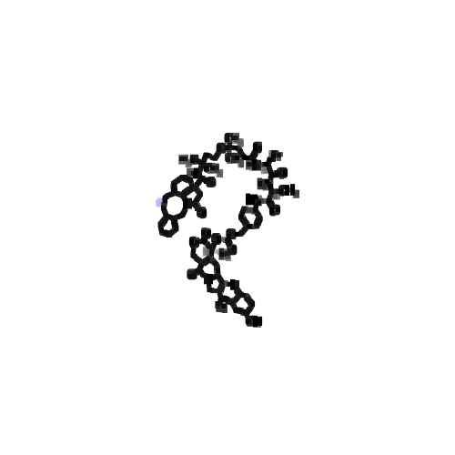 CCc1c2c(nc3ccc(O)cc13)-c1cc3c(c(=O)n1C2)COC(=O)[C@@]3(CC)OC(=O)OCc1ccc(NC(=O)[C@H](C)NC(=O)[C@@H](NC(=O)CCC(C)(C)OCCC(C)(C)NC(=O)CCC(=O)N2Cc3ccccc3/C=C\c3ccccc32)C(C)C)cc1